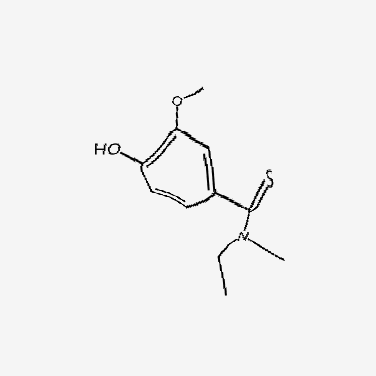 CCN(C)C(=S)c1ccc(O)c(OC)c1